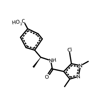 Cc1nn(C)c(Cl)c1C(=O)N[C@@H](C)c1ccc(C(=O)O)cc1